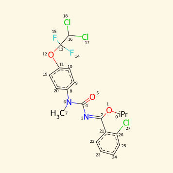 CC(C)OC(=NC(=O)N(C)c1ccc(OC(F)(F)C(Cl)Cl)cc1)c1ccccc1Cl